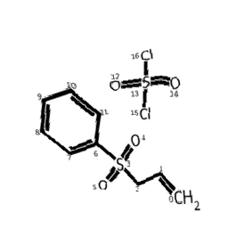 C=CCS(=O)(=O)c1ccccc1.O=S(=O)(Cl)Cl